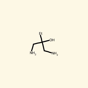 CCC(O)(CN)CN